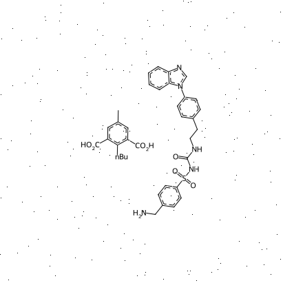 CCCCc1c(C(=O)O)cc(C)cc1C(=O)O.NCc1ccc(S(=O)(=O)NC(=O)NCCc2ccc(-n3cnc4ccccc43)cc2)cc1